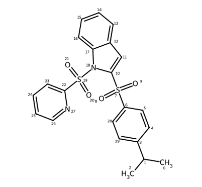 CC(C)c1ccc(S(=O)(=O)c2cc3ccccc3n2S(=O)(=O)c2ccccn2)cc1